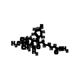 CC(C)(C)c1ccc(N(C(=O)CCCCCC(N)=O)c2ccc(F)cc2)c(N)c1